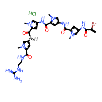 C=C(Br)C(=O)Nc1cc(C(=O)Nc2cc(C(=O)Nc3cc(C(=O)[AsH]c4cc(C(=O)NCCNC(=N)N)n(C)c4)n(C)c3)n(C)c2)n(C)c1.Cl